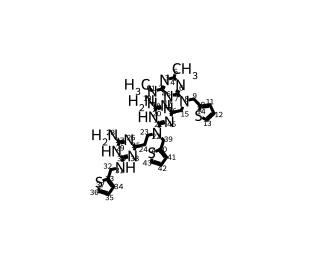 CNC1=NC(C)N=C(N(Cc2cccs2)CC2N=C(N)NC(N(CCC3N=C(N)NC(NCc4cccs4)=N3)Cc3cccs3)=N2)N1